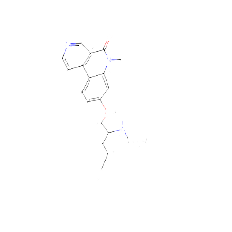 Cn1c(=O)c2cnccc2c2ccc(OCC(CCC(F)(F)F)NC(=O)O)cc21